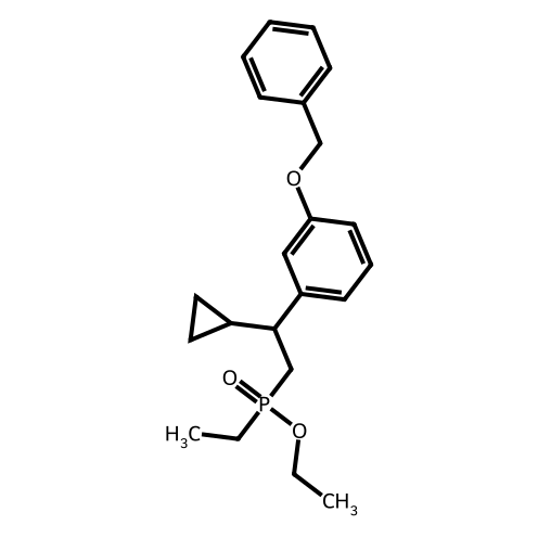 CCOP(=O)(CC)CC(c1cccc(OCc2ccccc2)c1)C1CC1